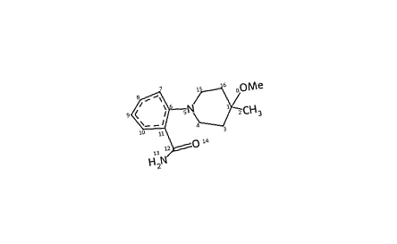 COC1(C)CCN(c2ccccc2C(N)=O)CC1